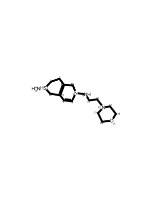 N[SH]1CCC2=C(C=CN(NCCN3CCOCC3)C2)C1